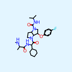 CNC(C)C(=O)NC(C(=O)N1CCC2C1C(Oc1ccc(F)cc1)CN2C(=O)NC(C)C)C1CCCCC1